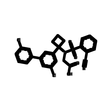 N#Cc1ccccc1S(=O)(=O)N(CC(=O)O)C1(c2cc(Cl)cc(-c3cccc(Cl)c3)c2)CCC1